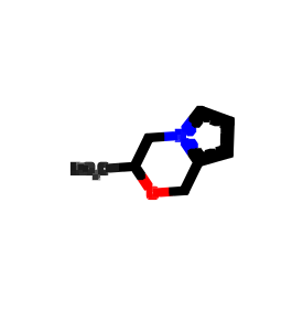 CCOC(=O)C1Cn2cccc2CO1